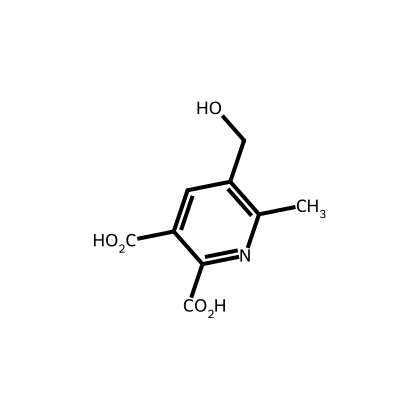 Cc1nc(C(=O)O)c(C(=O)O)cc1CO